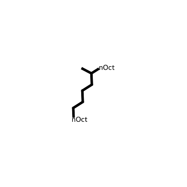 [CH2]CCCCCCCCCCCC(C)CCCCCCCC